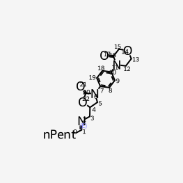 CCCCC/C=N/CC1CN(c2ccc(N3CCOCC3=O)cc2)C(=O)O1